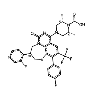 C[C@@H]1CN(c2nc(=O)n3c4c(c(-c5ccc(F)cc5)c(C(F)(F)F)cc24)SC[C@@H](c2ccncc2F)C3)C[C@H](C)N1C(=O)O